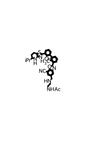 CC(=O)NCCNCc1cc(C#N)c2oc(-c3cccc(-c4cccc(-c5nc6c(s5)CCC(C(C)C)N6)c4C)c3C)nc2c1